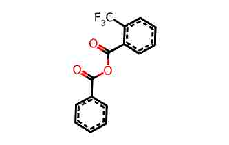 O=C(OC(=O)c1ccccc1C(F)(F)F)c1ccccc1